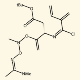 C=CC(=C)/C(Cl)=N\[C@@H](CC(=O)OC(C)(C)C)C(=C)ON(C)O/N=C(/C)NC